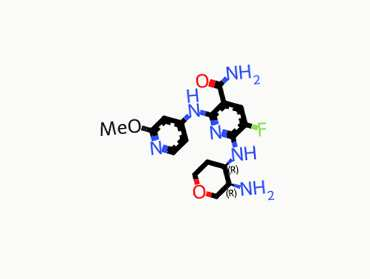 COc1cc(Nc2nc(N[C@@H]3CCOC[C@@H]3N)c(F)cc2C(N)=O)ccn1